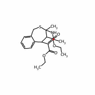 CCOC(=O)C1=C(C)NC2(C)SCc3ccccc3C1C2C(=O)OCC